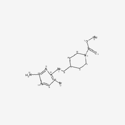 CC(C)(C)OC(=O)N1CCC(CNc2nc(N)ncc2Br)CC1